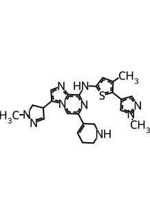 Cc1cc(Nc2nc(C3=CCCNC3)cn3c(C4C=NN(C)C4)cnc23)sc1-c1cnn(C)c1